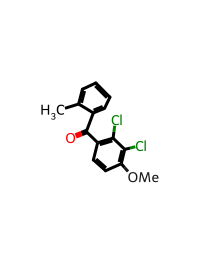 COc1ccc(C(=O)c2ccccc2C)c(Cl)c1Cl